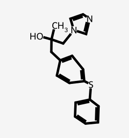 CC(O)(Cc1ccc(Sc2ccccc2)cc1)Cn1ccnc1